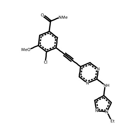 CCn1cc(Nc2ncc(C#Cc3cc(C(=O)NC)cc(OC)c3Cl)cn2)cn1